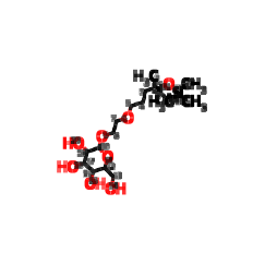 CO[Si](C)(CCCOCCOC1OC(CO)C(O)C(O)C1O)O[Si](C)(C)C